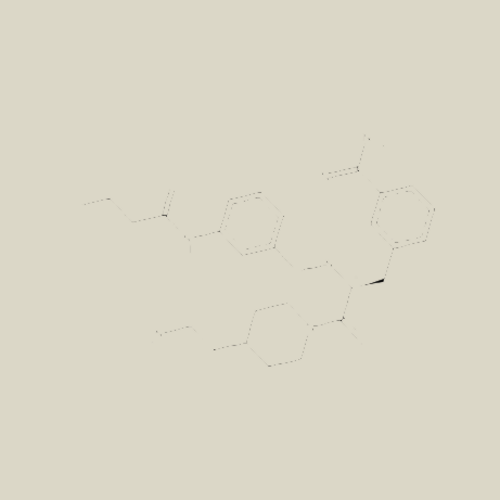 N=C(N)c1cccc(C[C@H](NSc2cccc(NC(=O)CCO)c2)C(=O)N2CCC(CCN)CC2)c1